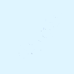 Cc1ccc(C(=O)Nc2ccc(-c3cc4c(cc3Br)OC(F)(F)O4)cn2)c(Cl)c1